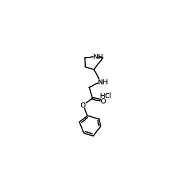 Cl.O=C(CNC1CCNC1)Oc1ccccc1